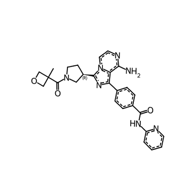 CC1(C(=O)N2CC[C@@H](c3nc(-c4ccc(C(=O)Nc5ccccn5)cc4)c4c(N)nccn34)C2)COC1